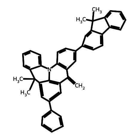 C=C1c2cc(-c3ccc4c(c3)C(C)(C)c3ccccc3-4)ccc2N2c3ccccc3C(C)(C)c3cc(-c4ccccc4)cc1c32